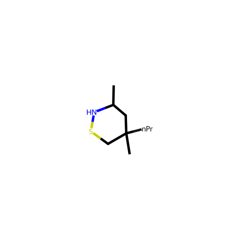 CCCC1(C)CSNC(C)C1